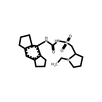 CCN1CCCC1CS(=O)(=O)NC(=O)Nc1c2c(cc3c1CCC3)CCC2